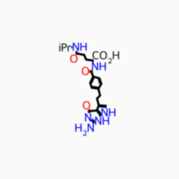 CC(C)NC(=O)CC[C@H](NC(=O)c1ccc(CCc2c[nH]c3[nH]c(N)nc(=O)c23)cc1)C(=O)O